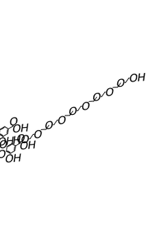 O=C(O)c1cc(O)c(O)c(O)c1.O=C(O)c1cc(O)c(O)c(O)c1.OCCOCCOCCOCCOCCOCCOCCOCCOCCO